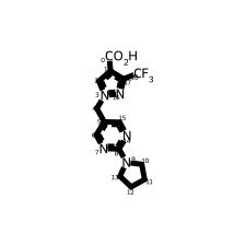 O=C(O)c1cn(Cc2cnc(N3CCCC3)nc2)nc1C(F)(F)F